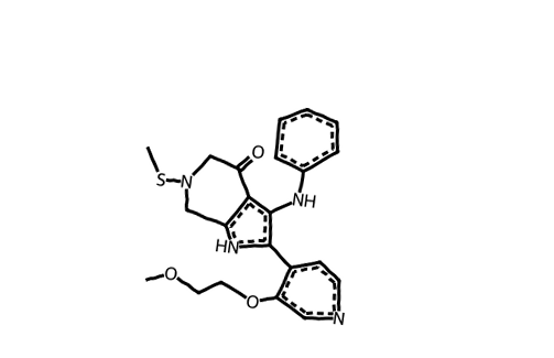 COCCOc1cnccc1-c1[nH]c2c(c1Nc1ccccc1)C(=O)CN(SC)C2